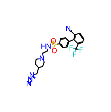 N#Cc1cccc(C(F)(F)F)c1-c1ccc(S(=O)(=O)NCCN2CCC(CN=[N+]=[N-])CC2)cc1